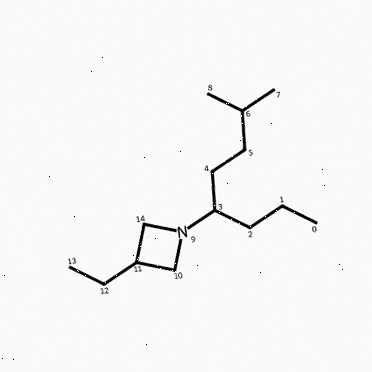 CCCC(CCC(C)C)N1CC(CC)C1